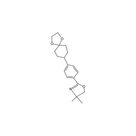 CC1(C)COC(c2ccc(C3CCC4(CC3)OCCO4)cc2)=N1